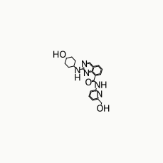 O=C(Nc1cccc(CO)n1)c1cccc2cnc(NC3CCC(O)CC3)nc12